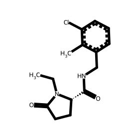 CCN1C(=O)CC[C@H]1C(=O)NCc1cccc(Cl)c1C